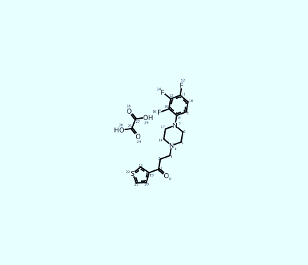 O=C(CCN1CCN(c2ccc(F)c(F)c2F)CC1)c1ccsc1.O=C(O)C(=O)O